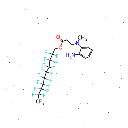 CN(CCC(=O)OCC(F)(F)C(F)(F)C(F)(F)C(F)(F)C(F)(F)C(F)(F)C(F)(F)C(F)(F)C(F)(F)F)c1ccccc1N